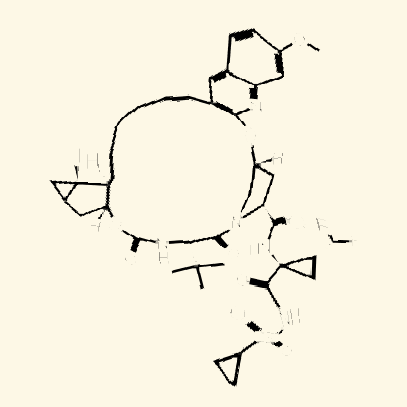 COc1ccc2cc3c(nc2c1)O[C@@H]1C[C@@H](C(=O)N[C@]2(C(=O)NS(=O)(=O)C4CC4)C[C@H]2C(F)F)N(C1)C(=O)[C@H](C(C)(C)C)NC(=O)O[C@@H]1CC2C[C@@H]2[C@H]1CCCCC3